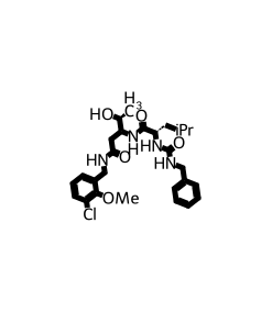 COc1c(Cl)cccc1CNC(=O)CC(NC(=O)[C@H](CC(C)C)NC(=O)NCc1ccccc1)[C@H](C)O